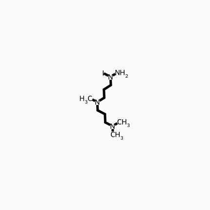 CN(C)CCCN(C)CCCN(N)I